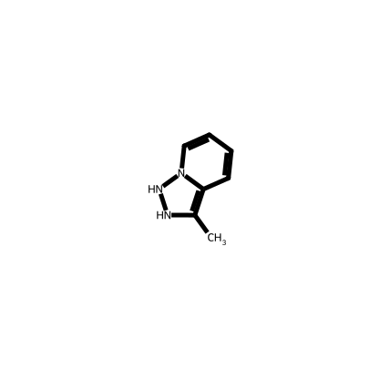 CC1=C2C=CC=CN2NN1